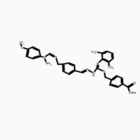 COC(=O)c1ccc(CS/C(=N\c2c(C)cccc2C)N/N=C/c2ccc(C/N=C\N(N)c3ccc(OC(F)(F)F)cc3)cc2)cc1